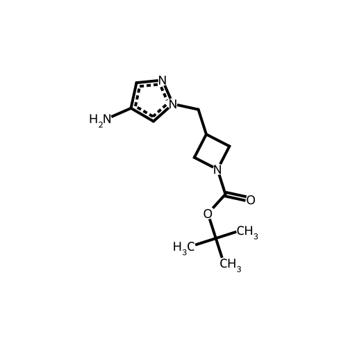 CC(C)(C)OC(=O)N1CC(Cn2cc(N)cn2)C1